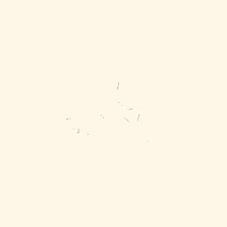 CC(C)=CCN(c1ccc(OCC(C)(C)C)cc1)C1CCCN(CC(C)CC(N)C=O)C1